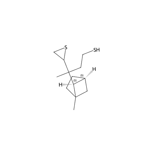 CC12CC[C@@H](C1)[C@@H]2C(C)(CCS)C1CS1